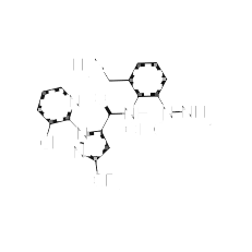 NCc1cccc(N(N)C=O)c1NC(=O)c1cc(C(F)(F)F)nn1-c1ncccc1Cl